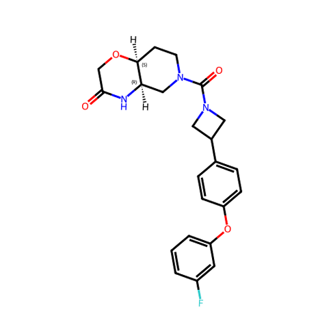 O=C1CO[C@H]2CCN(C(=O)N3CC(c4ccc(Oc5cccc(F)c5)cc4)C3)C[C@H]2N1